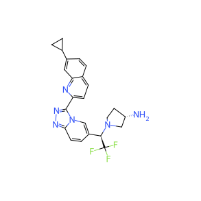 N[C@H]1CCN([C@H](c2ccc3nnc(-c4ccc5ccc(C6CC6)cc5n4)n3c2)C(F)(F)F)C1